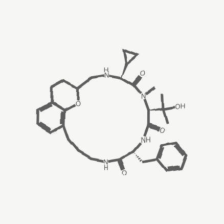 CN1C(=O)[C@H](C2CC2)NCC2CCc3cccc(c3O2)CCCNC(=O)[C@@H](Cc2ccccc2)NC(=O)[C@@H]1C(C)(C)O